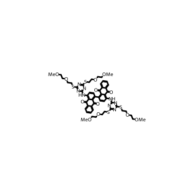 COCCOCCSc1nc(Nc2ccc(-c3ccc(Nc4nc(SCCOCCOC)nc(SCCOCCOC)n4)c4c3C(=O)c3ccccc3C4=O)c3c2C(=O)c2ccccc2C3=O)nc(SCCOCCOC)n1